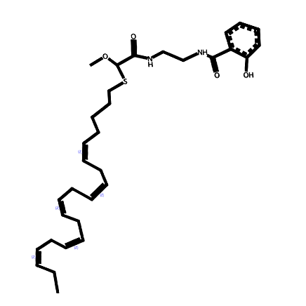 CC/C=C\C/C=C\C/C=C\C/C=C\C/C=C\CCCCSC(OC)C(=O)NCCNC(=O)c1ccccc1O